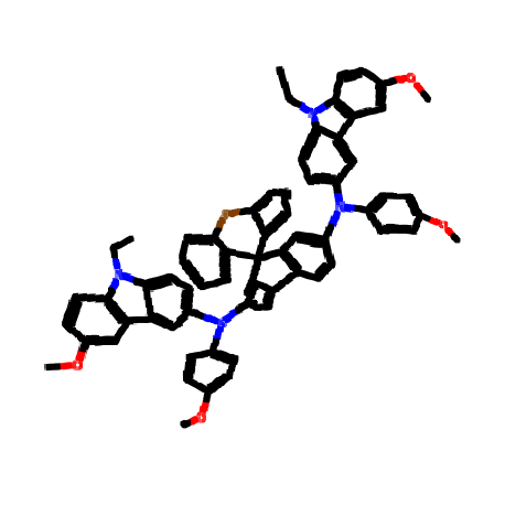 CCn1c2ccc(OC)cc2c2cc(N(c3ccc(OC)cc3)c3ccc4c(c3)C3(c5ccccc5Sc5ccccc53)c3cc(N(c5ccc(OC)cc5)c5ccc6c(c5)c5cc(OC)ccc5n6CC)ccc3-4)ccc21